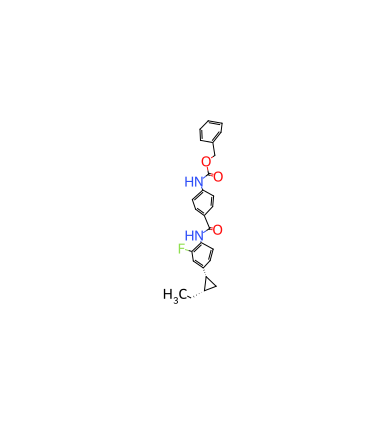 CC[C@H]1C[C@H]1c1ccc(NC(=O)c2ccc(NC(=O)OCc3ccccc3)cc2)c(F)c1